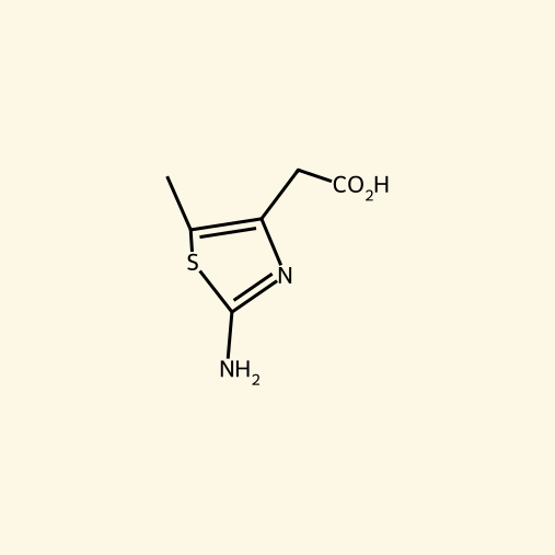 Cc1sc(N)nc1CC(=O)O